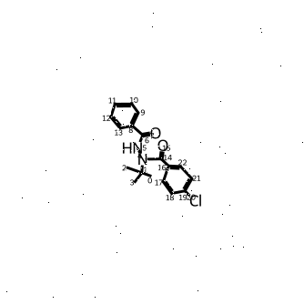 CC(C)(C)N(NC(=O)c1ccccc1)C(=O)c1ccc(Cl)cc1